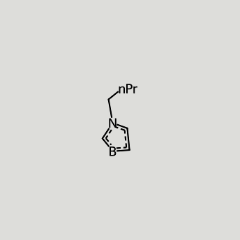 CCCCn1cbcc1